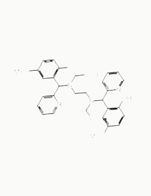 COc1ccc(O)c(C(c2ccccn2)N(CCN(CC(=O)O)C(c2ccccn2)c2cc(OC)ccc2O)CC(=O)O)c1